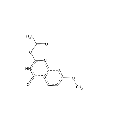 COc1ccc2c(=O)[nH]c(OC(C)=O)nc2c1